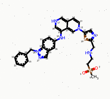 CS(=O)(=O)CCNCc1ncc(N2C=CC3=CNC=C(Nc4ccc5c(cnn5Cc5ccccc5)c4)C3=C2)s1